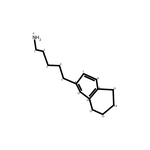 NCCCCCc1ccc2c(c1)CCCC2